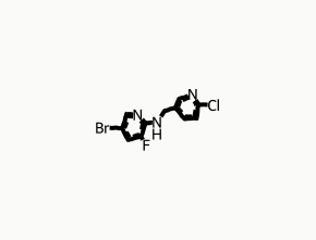 Fc1cc(Br)cnc1NCc1ccc(Cl)nc1